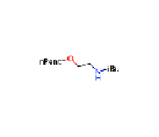 CCCCCOCCNC(C)CC